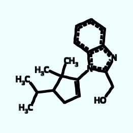 CC(C)C1CC=C(n2c(CO)nc3ccccc32)C1(C)C